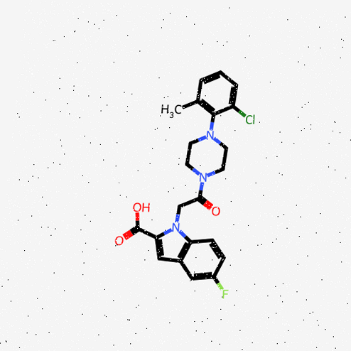 Cc1cccc(Cl)c1N1CCN(C(=O)Cn2c(C(=O)O)cc3cc(F)ccc32)CC1